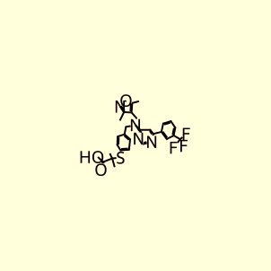 Cc1noc(C)c1CN(Cc1ccc(SC(C)(C)C(=O)O)cc1)c1cc(-c2cccc(C(F)(F)F)c2)ncn1